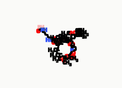 BC(=O)NCCCCCCNC(=O)OCCC1/C=C(\C)C[C@H](C)C[C@H](OC)[C@H]2O[C@@](O)(C(=O)C(=O)N3CCCC[C@H]3C(=O)OC(/C(C)=C/[C@@H]3CC[C@@H](O[Si](C)(C)C(C)(C)C)[C@H](OC)C3)[C@H](C)[C@@H](O[Si](C)(C)C(C)(C)C)CC1=O)[C@H](C)C[C@@H]2OC